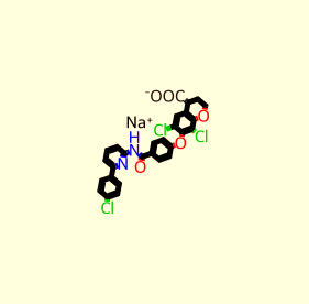 O=C(Nc1cccc(-c2ccc(Cl)cc2)n1)c1ccc(Oc2c(Cl)cc3c(c2Cl)OCCC3C(=O)[O-])cc1.[Na+]